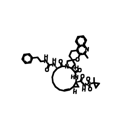 Cc1nc2ccccc2c2c1O[C@]1(CC2)C[C@H]2C(=O)N[C@]3(C(=O)NS(=O)(=O)C4(C)CC4)C[C@H]3/C=C\CCCCC[C@H](NC(=O)NCCc3ccccc3)C(=O)N2C1